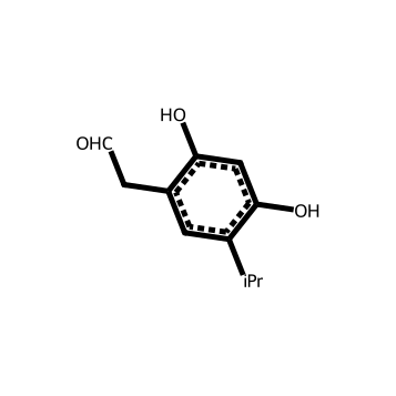 CC(C)c1cc(CC=O)c(O)cc1O